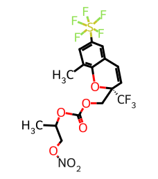 Cc1cc(S(F)(F)(F)(F)F)cc2c1O[C@@](COC(=O)OC(C)CO[N+](=O)[O-])(C(F)(F)F)C=C2